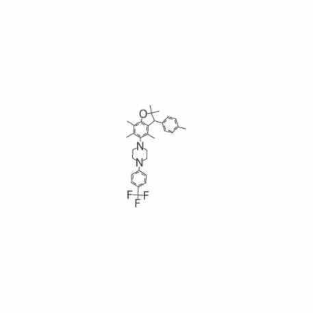 Cc1ccc(C2c3c(C)c(N4CCN(c5ccc(C(F)(F)F)cc5)CC4)c(C)c(C)c3OC2(C)C)cc1